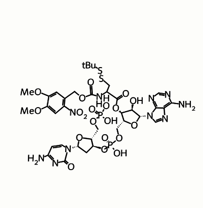 COc1cc(COC(=O)NC(CSSC(C)(C)C)C(=O)O[C@H]2[C@@H](O)[C@H](n3cnc4c(N)ncnc43)O[C@@H]2COP(=O)(O)O[C@H]2C[C@H](n3ccc(N)nc3=O)O[C@@H]2COP(=O)(O)O)c([N+](=O)[O-])cc1OC